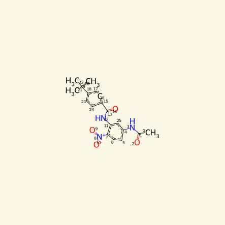 CC(=O)Nc1ccc([N+](=O)[O-])c(NC(=O)c2ccc(C(C)(C)C)cc2)c1